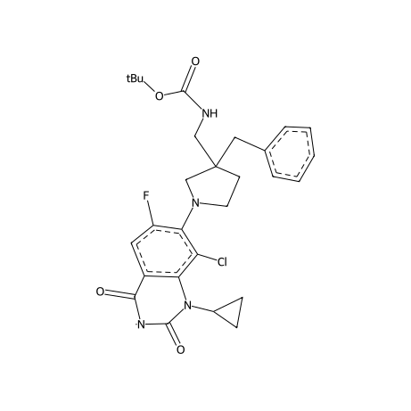 CC(C)(C)OC(=O)NCC1(Cc2ccccc2)CCN(c2c(F)cc3c(c2Cl)N(C2CC2)C(=O)[N]C3=O)C1